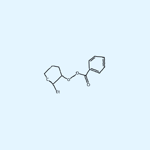 CCC1CCCC[C]1OOC(=O)c1ccccc1